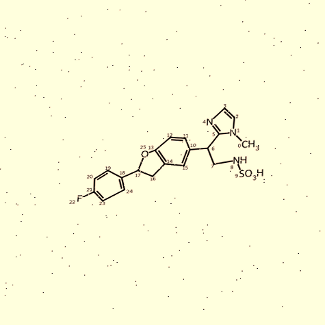 Cn1ccnc1C(CNS(=O)(=O)O)c1ccc2c(c1)CC(c1ccc(F)cc1)O2